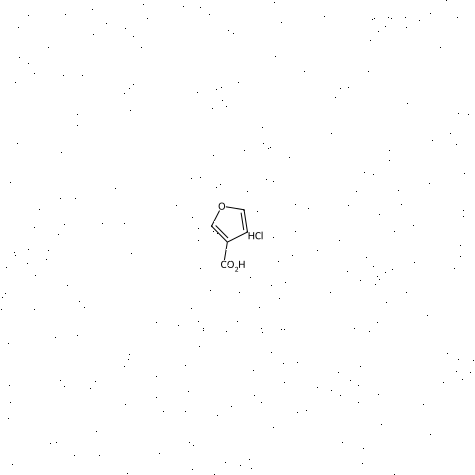 Cl.O=C(O)c1ccoc1